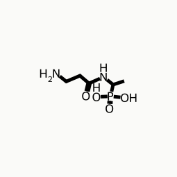 CC(NC(=O)CCN)P(=O)(O)O